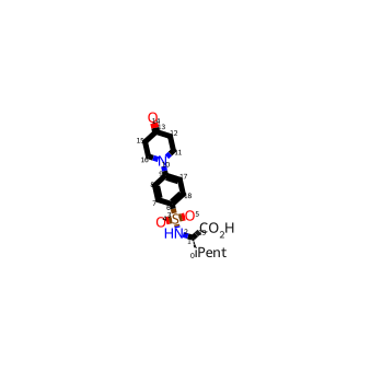 CCCC(C)[C@H](NS(=O)(=O)c1ccc(N2CCC(=O)CC2)cc1)C(=O)O